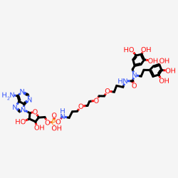 Nc1ncnc2c1ncn2C1OC(COP(=O)(O)ONCCCOCCOCCOCCCNC(=O)N(CCc2cc(O)c(O)c(O)c2)Cc2cc(O)c(O)c(O)c2)C(O)C1O